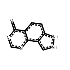 O=c1ncnc2c1ccc1[nH][nH]cc12